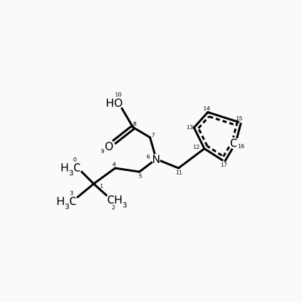 CC(C)(C)CCN(CC(=O)O)Cc1ccccc1